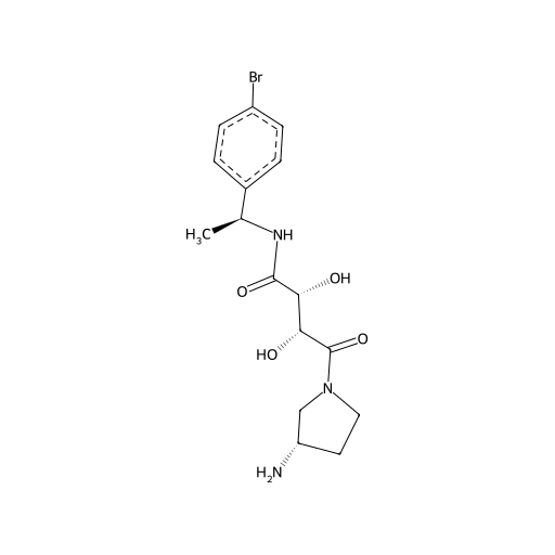 C[C@H](NC(=O)[C@H](O)[C@@H](O)C(=O)N1CC[C@H](N)C1)c1ccc(Br)cc1